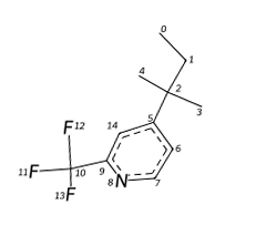 CCC(C)(C)c1ccnc(C(F)(F)F)c1